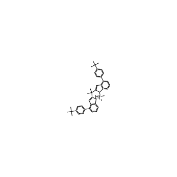 CC1(C)C2=Cc3c(-c4ccc(C(C)(C)C)cc4)cccc3[CH]2[Hf]([CH3])([CH3])[CH]2C1=Cc1c(-c3ccc(C(C)(C)C)cc3)cccc12